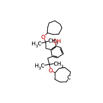 CC(C)(Cc1cccc(O)c1CC(C)(C)OC1CCCCCCC1)OC1CCCCCCC1